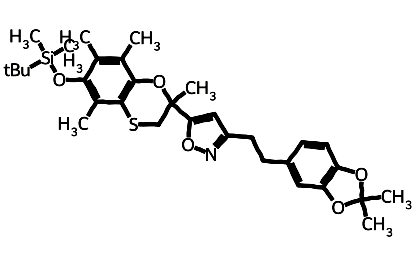 Cc1c(C)c2c(c(C)c1O[Si](C)(C)C(C)(C)C)SCC(C)(c1cc(CCc3ccc4c(c3)OC(C)(C)O4)no1)O2